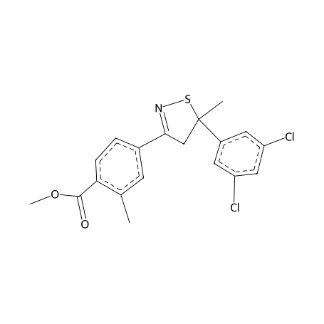 COC(=O)c1ccc(C2=NSC(C)(c3cc(Cl)cc(Cl)c3)C2)cc1C